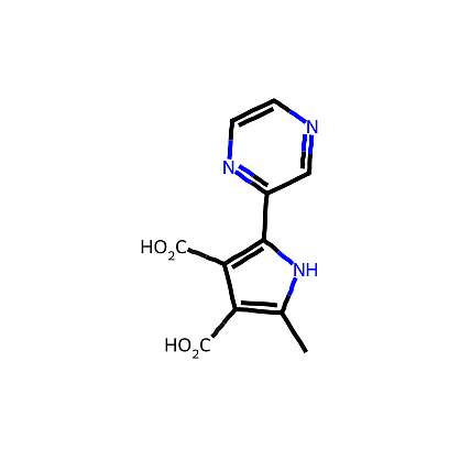 Cc1[nH]c(-c2cnccn2)c(C(=O)O)c1C(=O)O